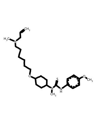 C=CCN(C)CCCCCCOC1CCC(N(C)C(=S)Nc2ccc(OC)cc2)CC1